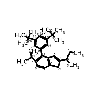 CCC(C)C1=Cc2c(ccc(C(C)C)c2-c2cc(C(C)(C)C)cc(C(C)(C)C)c2)[CH]1